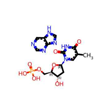 Cc1cn([C@H]2C[C@H](O)[C@@H](COP(=O)(O)O)O2)c(=O)[nH]c1=O.c1ncc2[nH]cnc2n1